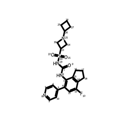 O=C(Nc1c(-c2ccncc2)cc(F)c2c1CCC2)NS(=O)(=O)C1CN(C2CCC2)C1